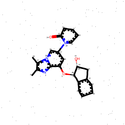 Cc1nc2c(O[C@@H]3c4ccccc4C[C@H]3O)cc(-n3ccccc3=O)cn2c1C